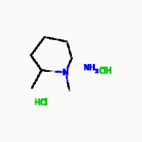 CC1CCCCN1C.Cl.Cl.N